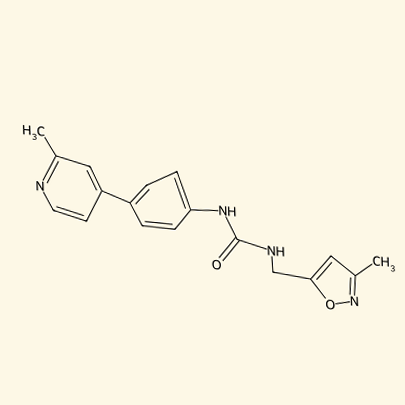 Cc1cc(-c2ccc(NC(=O)NCc3cc(C)no3)cc2)ccn1